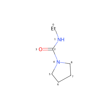 [CH2]CNC(=O)N1CCCC1